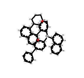 c1ccc(-c2ccc(N(c3ccccc3-c3cccc4cccc(C5CCCCC5)c34)c3cccc4ccccc34)cc2)cc1